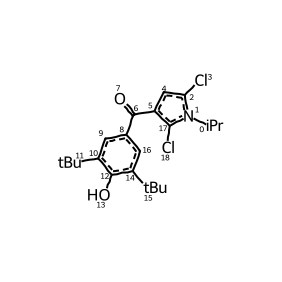 CC(C)n1c(Cl)cc(C(=O)c2cc(C(C)(C)C)c(O)c(C(C)(C)C)c2)c1Cl